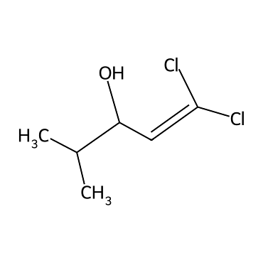 CC(C)C(O)C=C(Cl)Cl